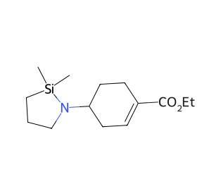 CCOC(=O)C1=CCC(N2CCC[Si]2(C)C)CC1